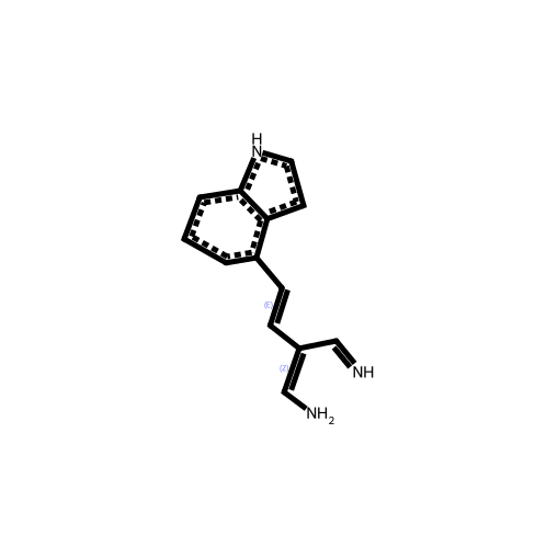 N=CC(=C\N)/C=C/c1cccc2[nH]ccc12